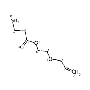 C=CCOCCOC(=O)CCN